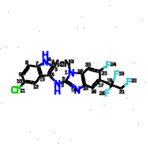 CNn1c(Nc2c[nH]c3ccc(Cl)cc23)nc2cc(C(F)(F)CF)c(F)cc21